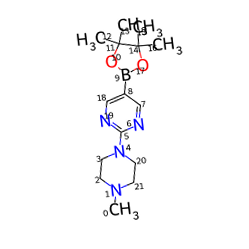 CN1CCN(c2ncc(B3OC(C)(C)C(C)(C)O3)cn2)CC1